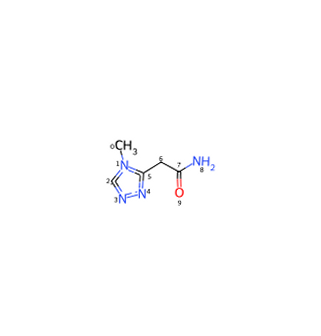 Cn1[c]nnc1CC(N)=O